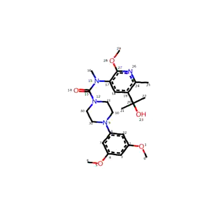 COc1cc(OC)cc(N2CCN(C(=O)N(C)c3cc(C(C)(C)O)c(C)nc3OC)CC2)c1